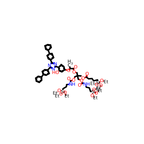 CCO[Si](CCCCC(=O)OCC(COC(=O)NCCC[Si](OCC)(OCC)OCC)(COC(=O)NCCC[Si](OCC)(OCC)OCC)COC(=O)C(C)Oc1ccc(-c2nc(-c3ccc(-c4ccccc4)cc3)nc(-c3ccc(-c4ccccc4)cc3)n2)c(O)c1)(OCC)OCC